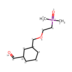 CP(C)(=O)CCOCC1CCCC(C=O)C1